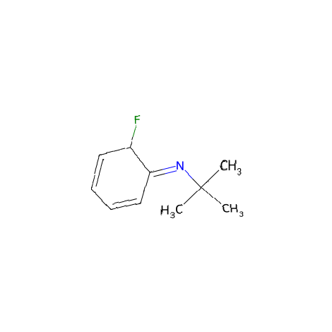 CC(C)(C)N=C1C=CC=CC1F